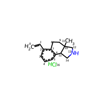 C=Cc1cccc2c1CCC1(C)CNCC21.Cl